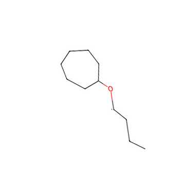 CCC[CH]OC1CCCCCC1